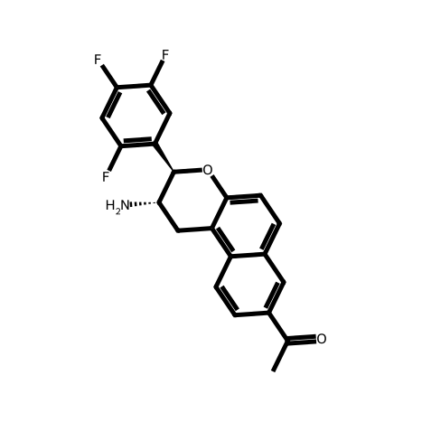 CC(=O)c1ccc2c3c(ccc2c1)O[C@H](c1cc(F)c(F)cc1F)[C@@H](N)C3